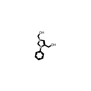 OCC1=CN(CO)CN1c1ccccc1